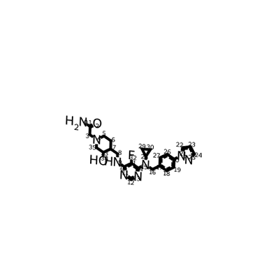 NC(=O)CN1CCC(CNc2ncnc(N(Cc3ccc(-n4cccn4)cc3)C3CC3)c2F)C(O)C1